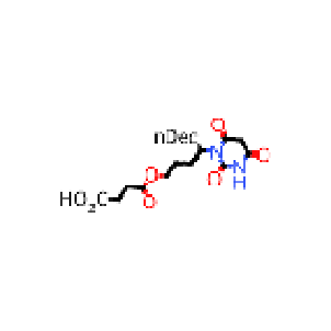 CCCCCCCCCCC(CCCOC(=O)CCC(=O)O)N1C(=O)CC(=O)NC1=O